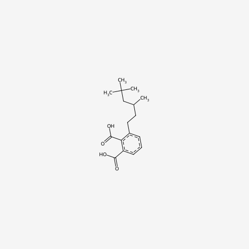 CC(CCc1cccc(C(=O)O)c1C(=O)O)CC(C)(C)C